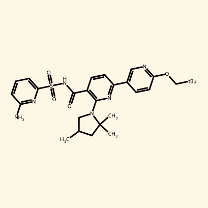 CC1CN(c2nc(-c3ccc(OCC(C)(C)C)nc3)ccc2C(=O)NS(=O)(=O)c2cccc(N)n2)C(C)(C)C1